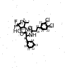 CC(C)C(NC(=O)C(Cc1ccccc1)NC(=O)CCc1ccc(Cl)c(Cl)c1)C(O)C(F)(F)F